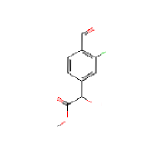 COC(=O)C(O)c1ccc(C=O)c(Cl)c1